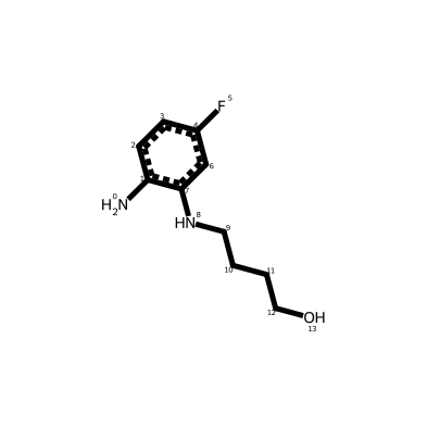 Nc1ccc(F)cc1NCCCCO